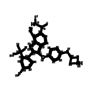 C=Cc1c(N(C)PI)ccc2c(Oc3ccc(SC4CNC4)cc3)c(-c3ccc(F)cc3C(C)(F)F)sc12